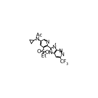 CCS(=O)(=O)c1cc(N(C(C)=O)C2CC2)cnc1-c1nc2cc(C(F)(F)F)nnc2n1C